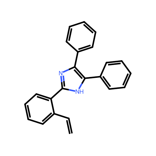 C=Cc1ccccc1-c1nc(-c2ccccc2)c(-c2ccccc2)[nH]1